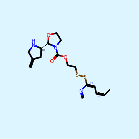 C=N/C(=C\C=C/C)SSCCOC(=O)N1CCOC1[C@@H]1CC(=C)CN1